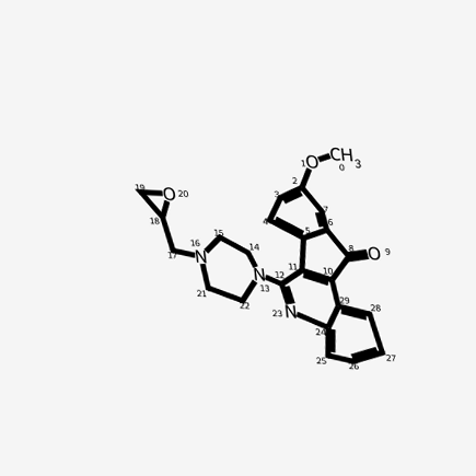 COc1ccc2c(c1)C(=O)c1c-2c(N2CCN(CC3CO3)CC2)nc2ccccc12